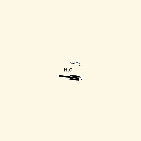 CC#N.O.[CaH2]